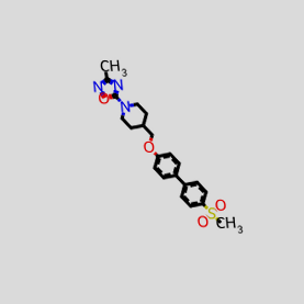 Cc1noc(N2CCC(COc3ccc(-c4ccc(S(C)(=O)=O)cc4)cc3)CC2)n1